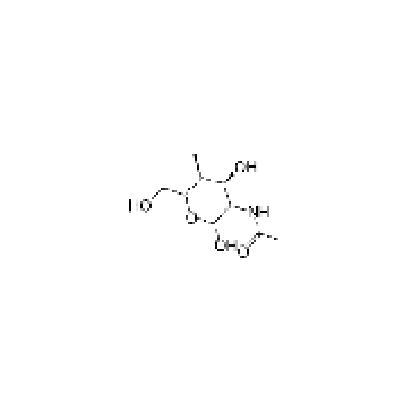 CC(=O)NC1C(O)OC(CO)[C@@H](C)[C@H]1O